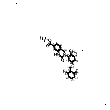 COC(=O)c1ccc2c(c1)NC(=O)N(c1cc(OCc3c(F)cccc3F)ccc1C)C2